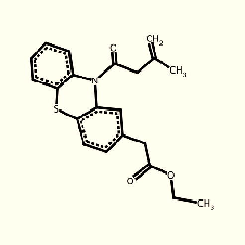 C=C(C)CC(=O)N1c2ccccc2Sc2ccc(CC(=O)OCC)cc21